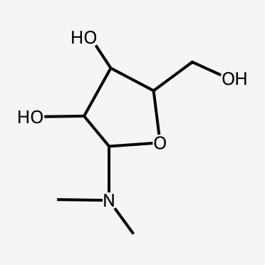 CN(C)C1OC(CO)C(O)C1O